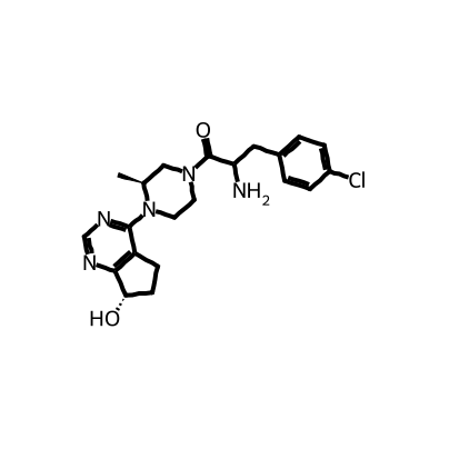 C[C@H]1CN(C(=O)C(N)Cc2ccc(Cl)cc2)CCN1c1ncnc2c1CC[C@@H]2O